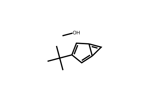 CC(C)(C)c1cc2cc-2c1.CO